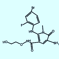 Bc1cc(C(=O)NOCCO)c(Nc2ccc(Br)cc2F)n(C)c1=O